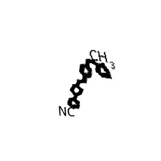 C[C@H](Cc1ccc(CCC2CCC(c3ccc(C#N)cc3)CC2)cc1)c1ccccc1